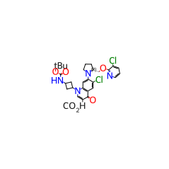 CC(C)(C)OC(=O)NC1CC(n2cc(C(=O)O)c(=O)c3cc(Cl)c(N4CCC[C@@H]4COc4ncccc4Cl)cc32)C1